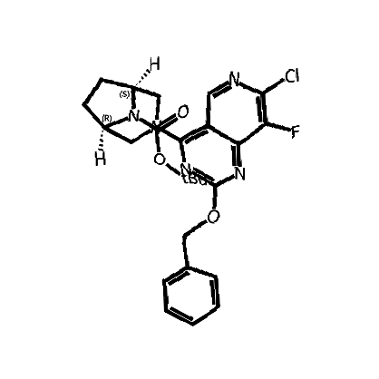 CC(C)(C)OC(=O)N1[C@@H]2CC[C@H]1CN(c1nc(OCc3ccccc3)nc3c(F)c(Cl)ncc13)C2